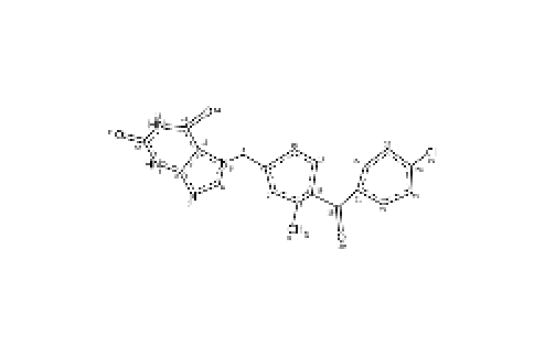 Cc1cc(Cn2cnc3[nH]c(=O)[nH]c(=O)c32)ccc1C(=O)c1ccc(Cl)cc1